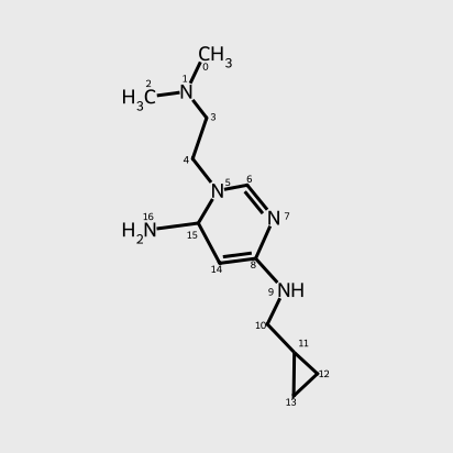 CN(C)CCN1C=NC(NCC2CC2)=CC1N